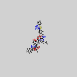 CC(C)CC(NC(=O)Cc1ccc(NC(=S)Nc2ccccc2)cc1)C(=O)NC(Cc1ccccc1CC(NC(=O)CC(C)(C)C)C(=O)O)C(=O)O